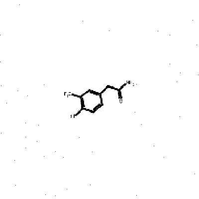 NC(=O)Cc1ccc(Cl)c(C(F)(F)F)c1